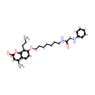 CCCc1c(OCCCCCCCNC(=O)CNc2ccccc2)ccc2c(C)cc(=O)oc12